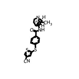 C[C@H]1[C@H](NC(=O)c2ccc(Sc3cc(C#N)cs3)cc2)C2CCN1CC2